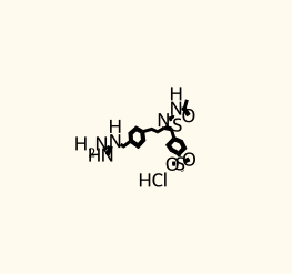 CC(=O)Nc1nc(CCc2ccc(CNC(=N)N)cc2)c(-c2ccc(S(C)(=O)=O)cc2)s1.Cl